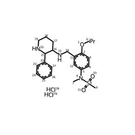 CC(C)Oc1ccc(N(C)S(C)(=O)=O)cc1CNC1CCCNC1c1ccccc1.Cl.Cl